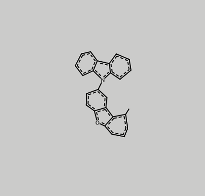 Cc1cccc2oc3ccc(-n4c5ccccc5c5ccccc54)cc3c12